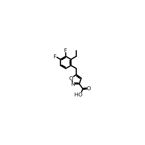 CCc1c(Cc2cc(C(=O)O)no2)ccc(F)c1F